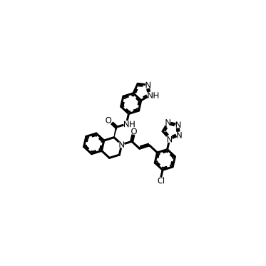 O=C(Nc1ccc2cn[nH]c2c1)[C@@H]1c2ccccc2CCN1C(=O)/C=C/c1cc(Cl)ccc1-n1cnnn1